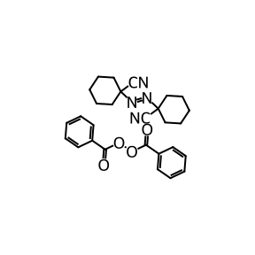 N#CC1(/N=N/C2(C#N)CCCCC2)CCCCC1.O=C(OOC(=O)c1ccccc1)c1ccccc1